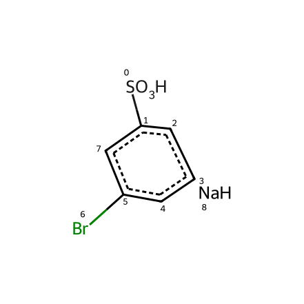 O=S(=O)(O)c1cccc(Br)c1.[NaH]